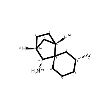 CC(=O)[C@@H]1CCC[C@]2(C1)[C@H]1CC[C@H](C1)[C@H]2N